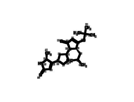 CC(C)C[C@H]1C(OC(C)(C)C)=CC(=O)N1[C@H]1CCN(C2=CC(=O)N[C@H]2C)C1